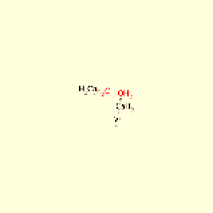 O.O.[CaH2].[CaH2].[V]